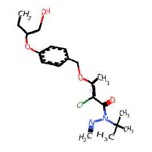 C=NN(C(=O)/C(Cl)=C(\C)OCc1ccc(OC(CC)CO)cc1)C(C)(C)C